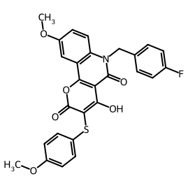 COc1ccc(Sc2c(O)c3c(=O)n(Cc4ccc(F)cc4)c4ccc(OC)cc4c3oc2=O)cc1